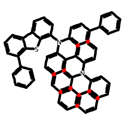 c1ccc(-c2ccc(N(c3ccccc3-c3ccccc3N(c3ccccc3-c3ccccc3)c3ccccc3-c3ccccc3)c3cccc4c3sc3c(-c5ccccc5)cccc34)cc2)cc1